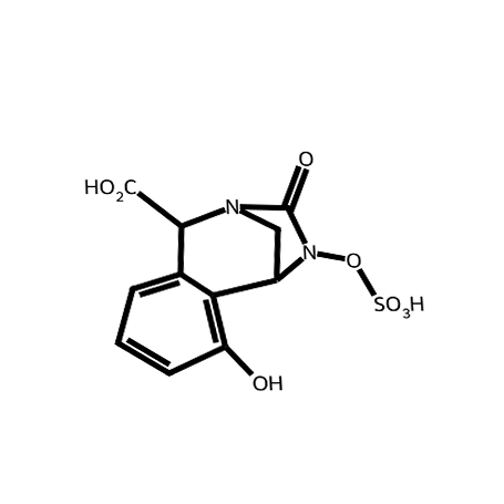 O=C(O)C1c2cccc(O)c2C2CN1C(=O)N2OS(=O)(=O)O